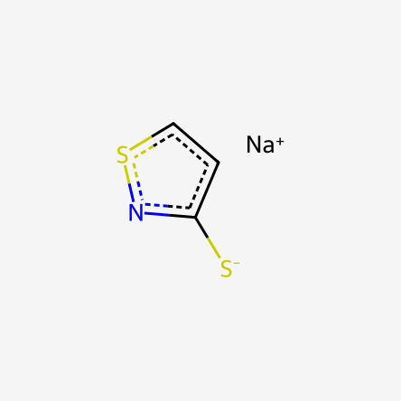 [Na+].[S-]c1ccsn1